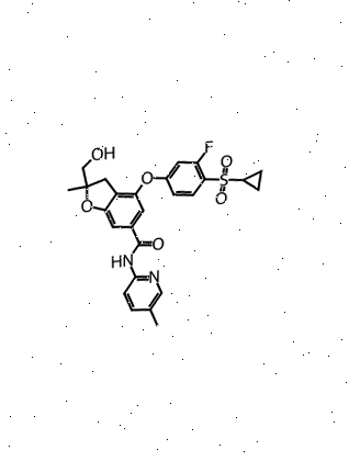 Cc1ccc(NC(=O)c2cc(Oc3ccc(S(=O)(=O)C4CC4)c(F)c3)c3c(c2)OC(C)(CO)C3)nc1